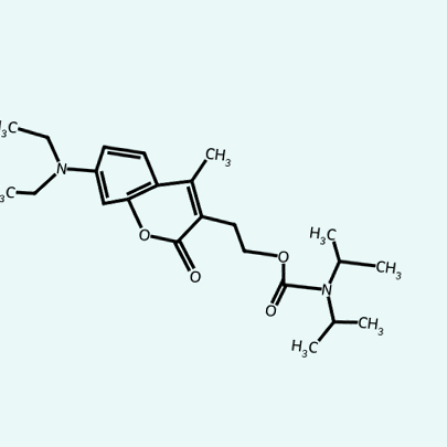 CCN(CC)c1ccc2c(C)c(CCOC(=O)N(C(C)C)C(C)C)c(=O)oc2c1